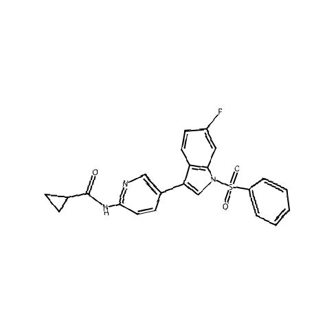 O=C(Nc1ccc(-c2cn(S(=O)(=O)c3ccccc3)c3cc(F)ccc23)cn1)C1CC1